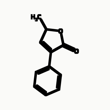 CC1C=C(c2ccccc2)C(=O)O1